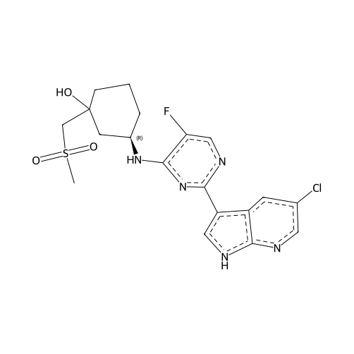 CS(=O)(=O)CC1(O)CCC[C@@H](Nc2nc(-c3c[nH]c4ncc(Cl)cc34)ncc2F)C1